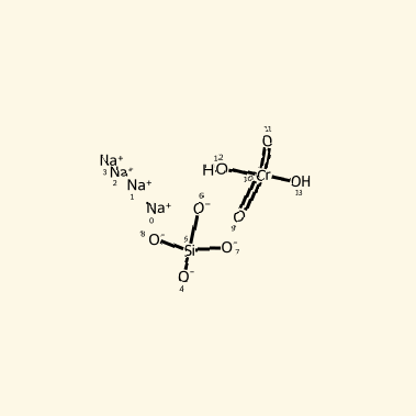 [Na+].[Na+].[Na+].[Na+].[O-][Si]([O-])([O-])[O-].[O]=[Cr](=[O])([OH])[OH]